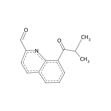 CC(C)C(=O)c1cccc2ccc(C=O)nc12